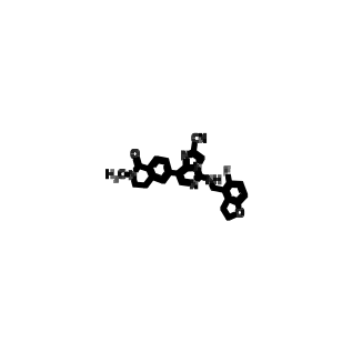 CN1CCc2cc(-c3cnc(NCc4c(F)ccc5c4CCO5)n4cc(C#N)nc34)ccc2C1=O